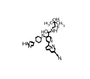 CC(C)(O)[C@H](F)CNC(=O)c1cnc(-c2ccc3cc(C#N)cnn23)cc1N[C@H]1CC[C@@H](c2cn[nH]c2)CC1